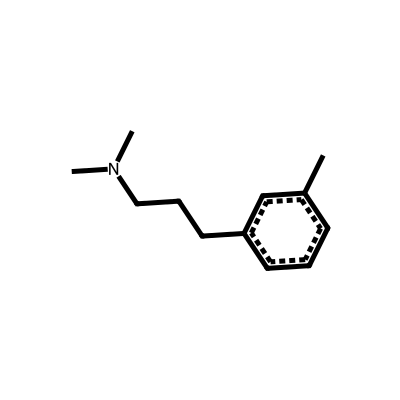 Cc1cccc(CCCN(C)C)c1